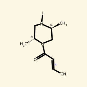 C[C@@H]1CN(I)[C@@H](C)CN1C(=O)/C=C/C#N